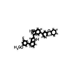 COc1cc(F)cc(-c2nccc3[nH]c(-c4n[nH]c5ccc(-c6cncc(OC7CCCCC7)c6)cc45)cc23)c1